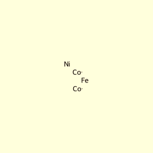 [Co].[Co].[Fe].[Ni]